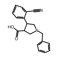 N#Cc1ccccc1C1CN(Cc2ccccc2)CC1C(=O)O